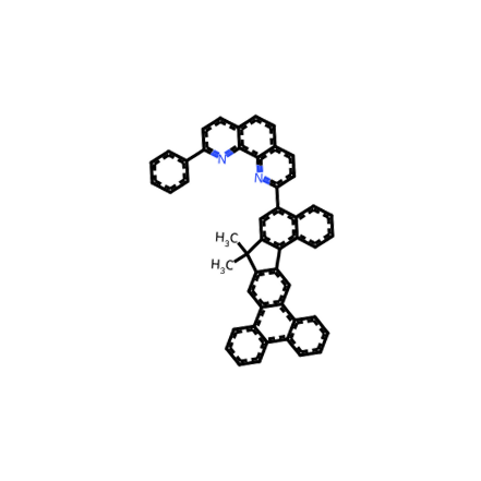 CC1(C)c2cc3c4ccccc4c4ccccc4c3cc2-c2c1cc(-c1ccc3ccc4ccc(-c5ccccc5)nc4c3n1)c1ccccc21